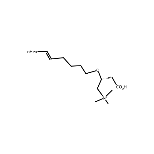 CCCCCCC=CCCCCO[C@H](CC(=O)O)C[N+](C)(C)C